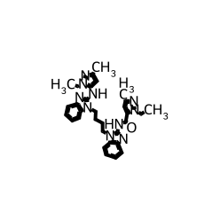 CCn1nc(C)cc1Nc1nc2ccccc2n1CCCCn1c(NC(=O)c2cc(C)nn2CC)nc2ccccc21